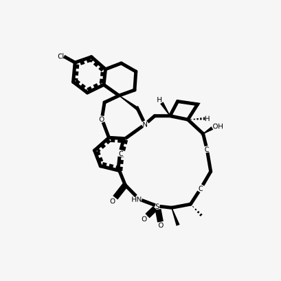 C[C@@H]1[C@@H](C)CCC[C@H](O)[C@@H]2CC[C@H]2CN2C[C@@]3(CCCc4cc(Cl)ccc43)COc3ccc(cc32)C(=O)NS1(=O)=O